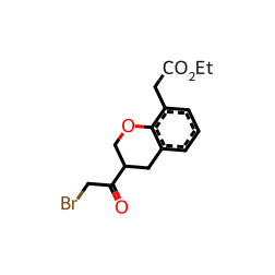 CCOC(=O)Cc1cccc2c1OCC(C(=O)CBr)C2